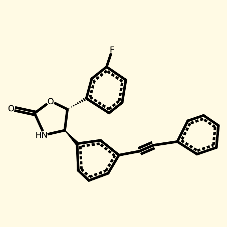 O=C1N[C@H](c2cccc(C#Cc3ccccc3)c2)[C@@H](c2cccc(F)c2)O1